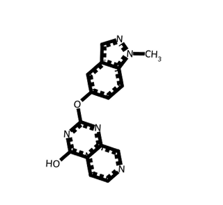 Cn1ncc2cc(Oc3nc(O)c4ccncc4n3)ccc21